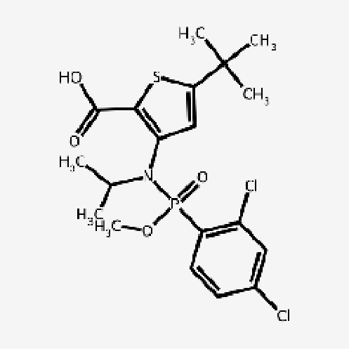 COP(=O)(c1ccc(Cl)cc1Cl)N(c1cc(C(C)(C)C)sc1C(=O)O)C(C)C